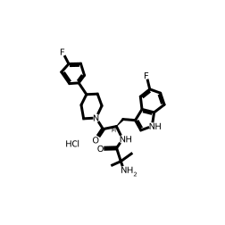 CC(C)(N)C(=O)N[C@H](Cc1c[nH]c2ccc(F)cc12)C(=O)N1CCC(c2ccc(F)cc2)CC1.Cl